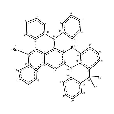 CC(C)(C)c1nc2c3c4c(cc2c2ccccc12)N1c2ccccc2C(C)(C)c2cccc(c21)B4c1ccccc1N3c1ccccc1